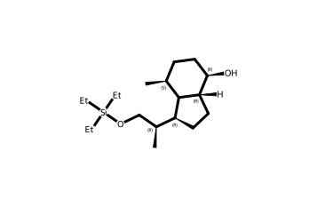 CC[Si](CC)(CC)OC[C@H](C)[C@@H]1CC[C@@H]2C1[C@@H](C)CC[C@H]2O